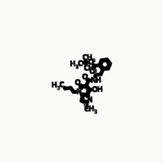 CCCCn1c(=O)c(C(=O)NCCc2ccccc2C(=O)OC(C)(C)C)c(O)c2nn(C)cc21